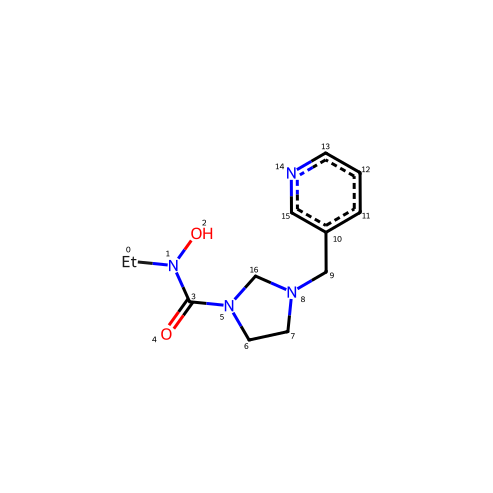 CCN(O)C(=O)N1CCN(Cc2cccnc2)C1